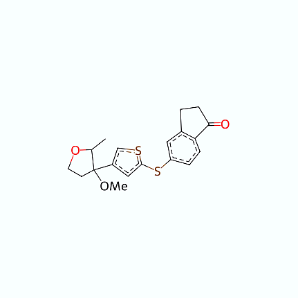 COC1(c2csc(Sc3ccc4c(c3)CCC4=O)c2)CCOC1C